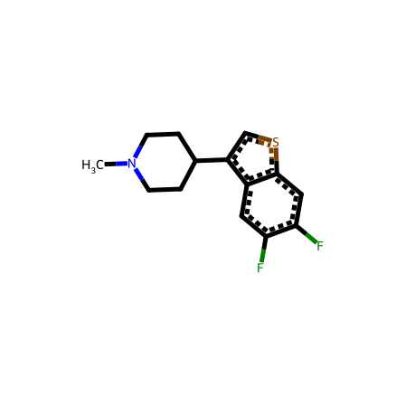 CN1CCC(c2csc3cc(F)c(F)cc23)CC1